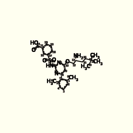 Cc1cccc(C)c1-c1cc(OC[C@H](N)CCC(C)(C)C)nc(NS(=O)(=O)c2cccc(C(=O)O)c2)n1